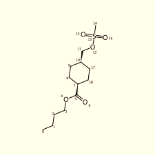 CCCCOC(=O)[C@H]1CC[C@@H](COS(C)(=O)=O)CC1